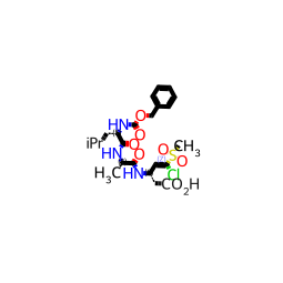 CC(C)C[C@H](NC(=O)OCc1ccccc1)C(=O)N[C@@H](C)C(=O)N[C@H](/C=C(\Cl)S(C)(=O)=O)CC(=O)O